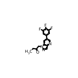 CCC(=O)Cn1ncc2ncc(-c3cc(F)c(F)c(F)c3)cc21